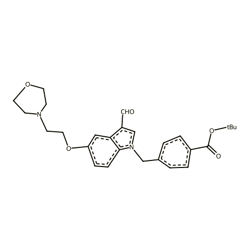 CC(C)(C)OC(=O)c1ccc(Cn2cc(C=O)c3cc(OCCN4CCOCC4)ccc32)cc1